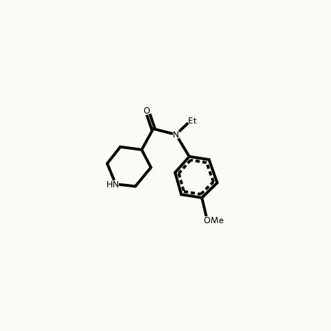 CCN(C(=O)C1CCNCC1)c1ccc(OC)cc1